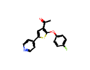 CC(=O)c1cc(-c2ccncc2)sc1Oc1ccc(F)cc1